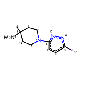 CNC1(C)CCN(c2ccc(I)nn2)CC1